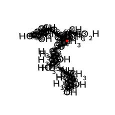 C[C@H](CCC(=O)NCC(=O)O[C@@H]1C[C@@H]2C[C@H](OC(=O)CC[C@@H](C)[C@H]3CCC4C5C(CC[C@@]43C)[C@@]3(C)CC[C@@H](O)CC3C[C@H]5O)CC[C@]2(C)[C@H]2C[C@H](O)[C@]3(C)[C@@H]([C@H](C)CCC(=O)O)CC[C@H]3[C@H]12)[C@H]1CCC2C3C(C[C@H](O)[C@@]21C)[C@@]1(C)CC[C@@H](O)CC1C[C@H]3O.C[C@H](CCC(=O)NCCS(=O)(=O)O)[C@H]1CCC2C3C(C[C@H](O)[C@@]21C)[C@@]1(C)CC[C@@H](O)CC1C[C@H]3O